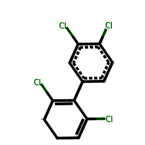 ClC1=CC[CH]C(Cl)=C1c1ccc(Cl)c(Cl)c1